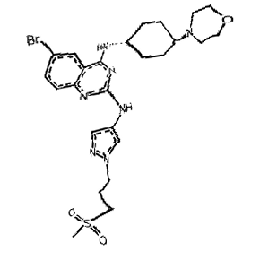 CS(=O)(=O)CCCn1cc(Nc2nc(N[C@H]3CC[C@H](N4CCOCC4)CC3)c3cc(Br)ccc3n2)cn1